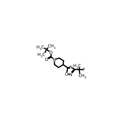 CC(C)(C)OC(=O)N1CCC(c2nc(C(C)(C)F)no2)CC1